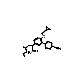 CCCC(C)CC(C(=O)O)c1ccc(OCC2CC2)c(-c2ccc(C#N)cc2)c1